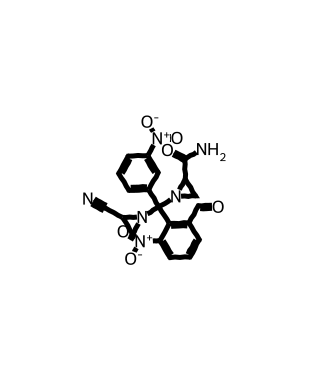 N#CC1CN1C(c1cccc([N+](=O)[O-])c1)(c1c(C=O)cccc1[N+](=O)[O-])N1CC1C(N)=O